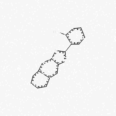 Oc1ccccc1-c1nc2cc3ccccc3cc2s1